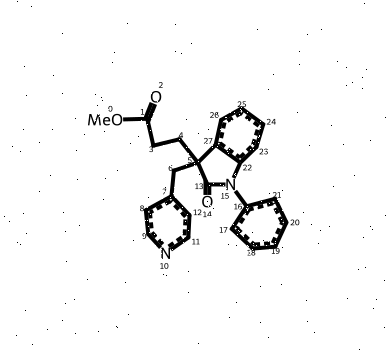 COC(=O)CCC1(Cc2ccncc2)C(=O)N(c2ccccc2)c2ccccc21